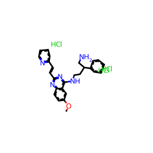 COc1ccc2nc(C=Cc3ccccn3)nc(NCCC(CN)c3ccccc3)c2c1.Cl.Cl.Cl